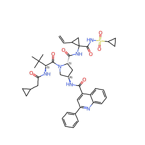 C=CC1CC1(NC(=O)[C@@H]1C[C@@H](NC(=O)c2cc(-c3ccccc3)nc3ccccc23)CN1C(=O)[C@@H](NC(=O)CC1CC1)C(C)(C)C)C(=O)NS(=O)(=O)C1CC1